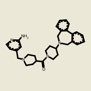 Nc1cc(CN2CCC(C(=O)N3CCC(N4Cc5ccccc5-c5ccccc5C4)CC3)CC2)ccn1